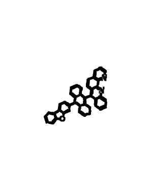 C1=Cc2c(c(-c3c4ccccc4nc4c3ccc3cccnc34)c3ccccc3c2-c2ccc3c(c2)oc2ccccc23)CC1